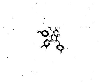 CCC[C@H](C(=O)O)N1C(=O)[C@@H](Cc2ccc(F)cc2)O[C@H](c2ccc(Cl)c(F)c2)[C@@H]1c1ccc(Cl)cc1